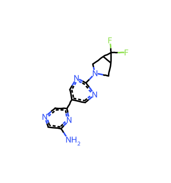 Nc1cncc(-c2cnc(N3CC4C(C3)C4(F)F)nc2)n1